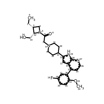 CC[C@@H]1CN(C(=O)CN2CCC(c3cc4c(-c5cc(F)ccc5OC)ccnc4[nH]3)CC2)[C@@H]1CO